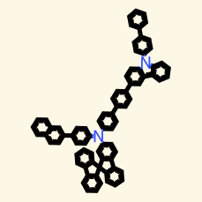 c1ccc(-c2ccc(-n3c4ccccc4c4cc(-c5ccc(-c6ccc(N(c7ccc(-c8ccc9ccccc9c8)cc7)c7ccc8c(c7)C7(c9ccccc9-c9ccccc97)c7ccccc7-8)cc6)cc5)ccc43)cc2)cc1